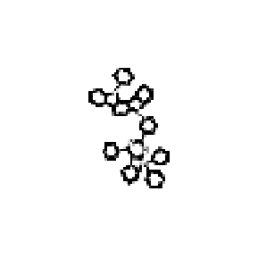 c1ccc(-c2nc(-c3cccc(-n4c5ccccc5c5c4ccc4c6ccccc6n(-c6ccccc6)c45)c3)nc3c2-c2ccccc2[Si]3(c2ccccc2)c2ccccc2)cc1